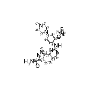 CN1CCN(c2ccc(Nc3ncc4c(n3)-c3c(c(C(N)=O)nn3C)CC4)c(OC(F)(F)F)c2)CC1